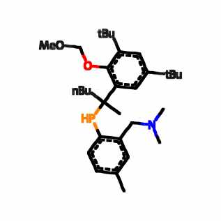 CCCCC(C)(Pc1ccc(C)cc1CN(C)C)c1cc(C(C)(C)C)cc(C(C)(C)C)c1OCOC